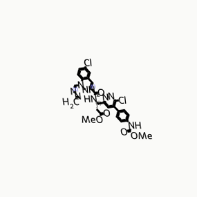 C=N/N=C\N(N)c1ccc(Cl)cc1/C=C/C(=O)N[C@@H](CC(=O)OC)c1cc(-c2ccc(NC(=O)OC)cc2)c(Cl)nn1